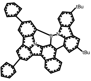 CC(C)(C)c1ccc2c(c1)c1cc(C(C)(C)C)cc3c1n2B1c2cc(-c4ccccc4)cc4c5cc(-c6ccccc6)cc6c7c8ccccc8c-3c1c7n(c24)c56